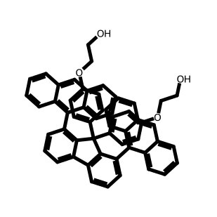 OCCOc1ccc(C2(c3ccc(OCCO)cc3)c3c(cccc3-c3c4ccccc4cc4ccccc34)-c3cccc(-c4c5ccccc5cc5ccccc45)c32)cc1